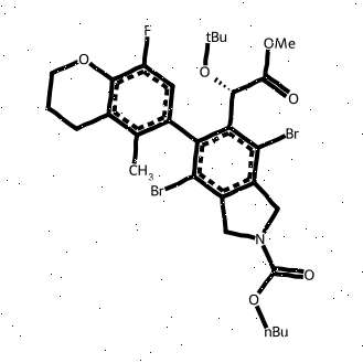 CCCCOC(=O)N1Cc2c(Br)c(-c3cc(F)c4c(c3C)CCCO4)c([C@H](OC(C)(C)C)C(=O)OC)c(Br)c2C1